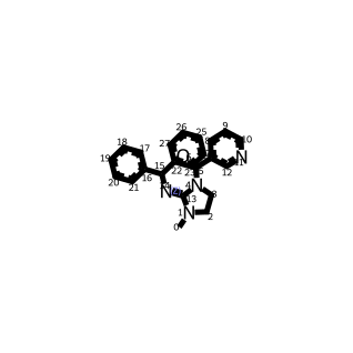 CN1CCN(C(=O)c2cccnc2)/C1=N\C(c1ccccc1)c1ccccc1